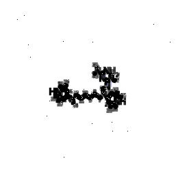 CN(C)C(=N/CN(CCCCCCN(C)C1CC(C)(C)NC(C)(C)C1)C1CC(C)(C)NC(C)(C)C1)/N=C(\N)N(C)C